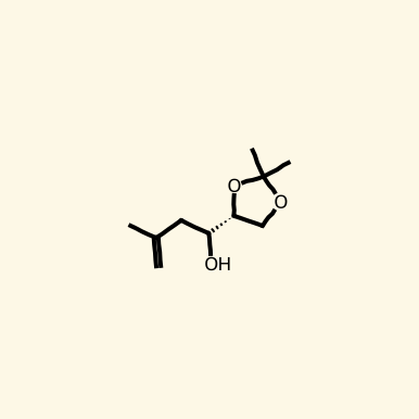 C=C(C)CC(O)[C@H]1COC(C)(C)O1